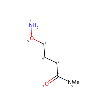 CNC(=O)CCCON